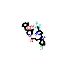 Cn1c(-c2ccc(C(F)(F)F)cn2)c(CCC(=O)N2CCC(O)(Cc3ccccc3)CC2)c2cc(Cl)ccc21